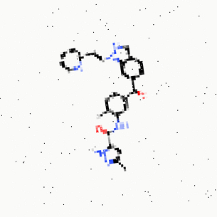 Cc1cc(C(=O)Nc2cc(C(=O)c3ccc4cnn(C=Cc5ccccn5)c4c3)ccc2C)n(C)n1